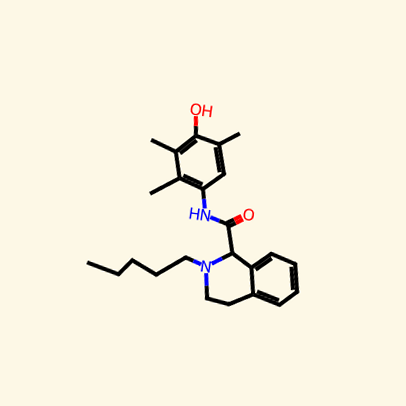 CCCCCN1CCc2ccccc2C1C(=O)Nc1cc(C)c(O)c(C)c1C